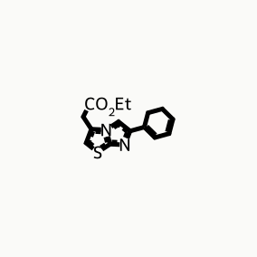 CCOC(=O)Cc1csc2nc(C3=CC=CCC3)cn12